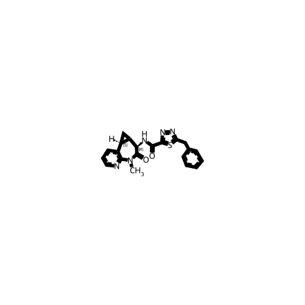 CN1C(=O)[C@H](NC(=O)c2nnc(Cc3ccccc3)s2)C2C[C@@H]2c2cccnc21